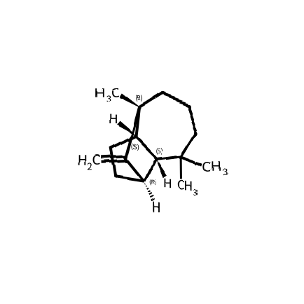 C=C1[C@@H]2CC[C@H]3[C@@H]2C(C)(C)CCC[C@@]13C